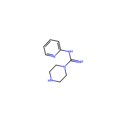 N=C(Nc1ccccn1)N1CCNCC1